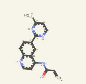 C=CC(=O)Nc1ccnc2ccc(-c3nccc(C(=O)O)n3)cc12